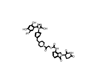 CC(C)c1cc(-c2nnc(O)n2-c2ccc(CC3CCN(C(=O)COC(=O)Nc4cccc5c4CN(C4CCC(=O)NC4=O)C5=O)CC3)cc2)c(O)cc1O